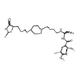 N=C(NCCCCN1CCC(OCCCC2SC(=O)NC2=O)CC1)NC(=O)c1nc(Cl)c(N)nc1N